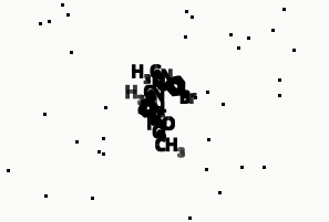 CCOC(=O)C(F)(F)c1cccc(C(C)Nc2nc(C)nc3ccc(Br)cc23)c1